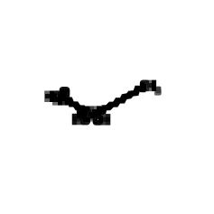 CCCCCCCCCCCCC/C=C/[C@@H](O)[C@H](CO)NC(=O)CCCCCNC(=O)O